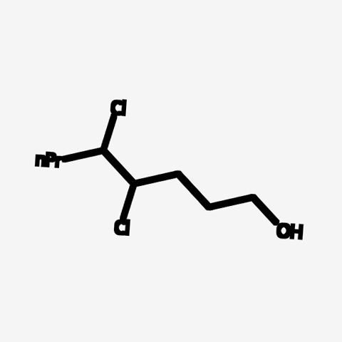 CCCC(Cl)C(Cl)CCCO